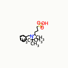 CC(CCCS(=O)(=O)O)N(Cc1ccccc1)C(C)(C)C